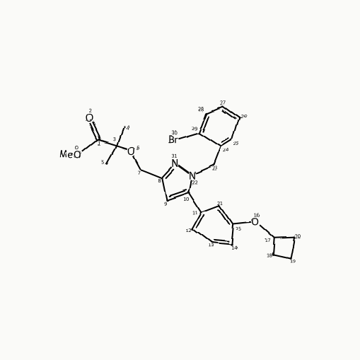 COC(=O)C(C)(C)OCc1cc(-c2cccc(OC3CCC3)c2)n(Cc2ccccc2Br)n1